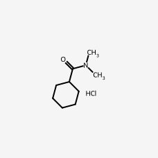 CN(C)C(=O)C1CCCCC1.Cl